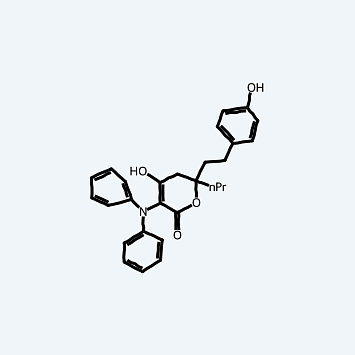 CCCC1(CCc2ccc(O)cc2)CC(O)=C(N(c2ccccc2)c2ccccc2)C(=O)O1